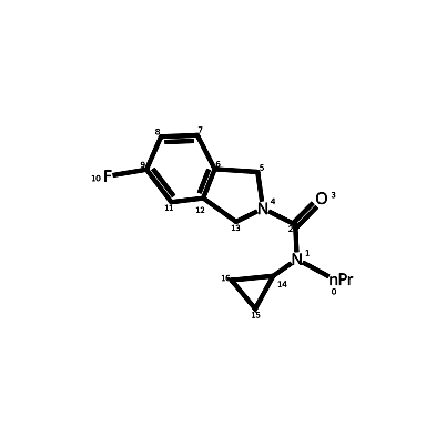 CCCN(C(=O)N1Cc2ccc(F)cc2C1)C1CC1